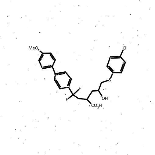 COc1ccc(-c2ccc(C(F)(F)CC(CC(O)CSc3ccc(Cl)cc3)C(=O)O)cc2)cc1